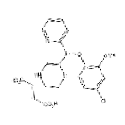 COc1cc(Cl)ccc1O[C@@H](c1ccccn1)[C@@H]1CNCCO1.O=C(O)C=CC(=O)O